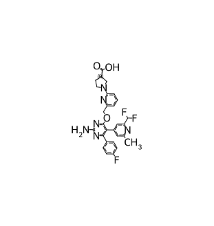 Cc1cc(-c2c(OCc3cccc(N4CC[C@@H](C(=O)O)C4)n3)nc(N)nc2-c2ccc(F)cc2)cc(C(F)F)n1